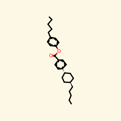 CCCCCc1ccc(OC(=O)c2ccc([C@H]3CC[C@H](CCCCC)CC3)cc2)cc1